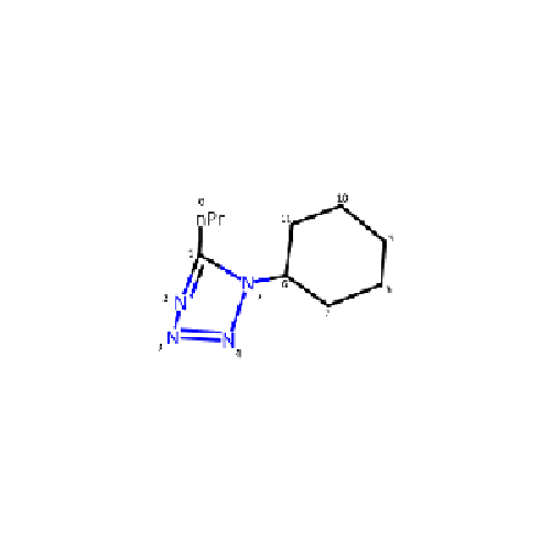 CCCc1nnnn1C1CCCCC1